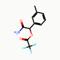 Cc1cccc(C(OC(=O)C(F)(F)F)C(N)=O)c1